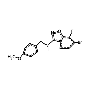 COc1ccc(CNc2noc3c(F)c(Br)ccc23)cc1